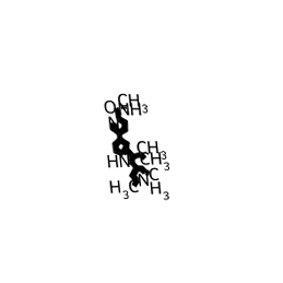 CNC(=O)c1ccc(-c2ccc3[nH]c(-c4cc(C)nc(C)c4)c(C(C)C)c3c2)cn1